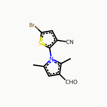 Cc1cc(C=O)c(C)n1-c1sc(Br)cc1C#N